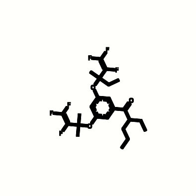 CCCC(CC)C(=O)c1cc(OC(C)(C)C(F)=C(F)F)cc(OC(C)(CC)C(F)=C(F)F)c1